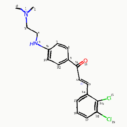 CN(C)CCNc1ccc(C(=O)/C=C/c2cccc(Cl)c2Cl)cc1